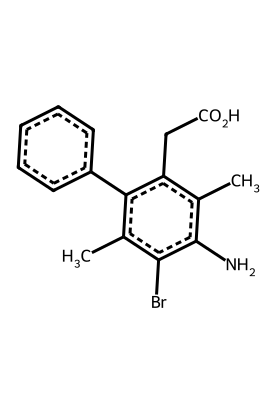 Cc1c(N)c(Br)c(C)c(-c2ccccc2)c1CC(=O)O